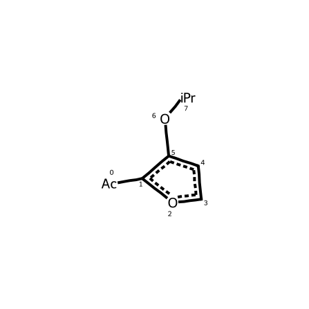 CC(=O)c1occc1OC(C)C